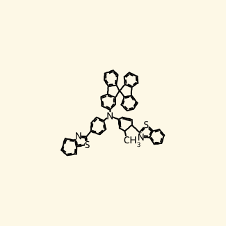 CC1C=C(N(c2ccc(-c3nc4ccccc4s3)cc2)c2ccc3c(c2)C2(c4ccccc4-c4ccccc42)c2ccccc2-3)C=CC1c1nc2ccccc2s1